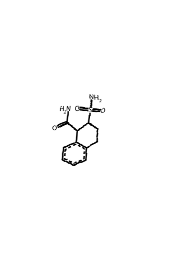 NC(=O)C1c2ccccc2CCC1S(N)(=O)=O